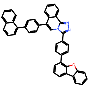 c1ccc2c(-c3ccc(-c4cn5c(-c6ccc(-c7cccc8c7oc7ccccc78)cc6)nnc5c5ccccc45)cc3)cccc2c1